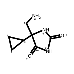 NCC1(C2CC2)NC(=O)NC1=O